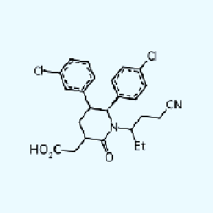 CCC(CCC#N)N1C(=O)C(CC(=O)O)CC(c2cccc(Cl)c2)[C@H]1c1ccc(Cl)cc1